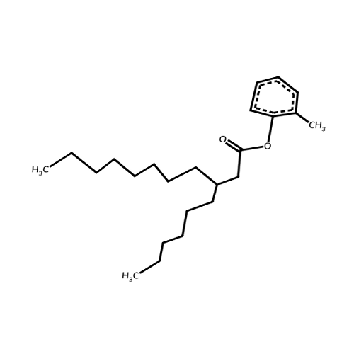 CCCCCCCCC(CCCCCC)CC(=O)Oc1ccccc1C